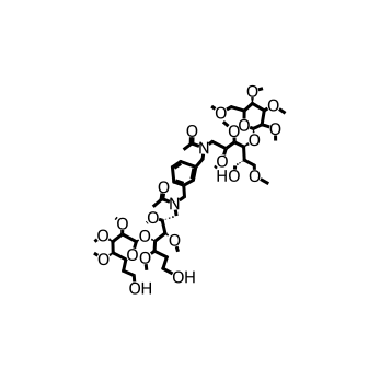 COCC1O[C@@H](O[C@H](C(OC)C(CN(Cc2cccc(CN(C[C@@H](OC)[C@H](OC)[C@@H](O[C@@H]3OC(CCO)[C@@H](OC)[C@@H](OC)C3OC)C(CCO)OC)C(C)=O)c2)C(C)=O)OC)[C@@H](CO)COC)C(OC)C(OC)[C@@H]1OC